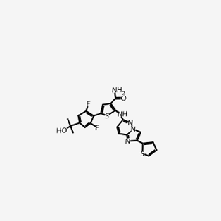 CC(C)(O)c1cc(F)c(-c2cc(C(N)=O)c(Nc3ccc4nc(-c5cccs5)cn4n3)s2)c(F)c1